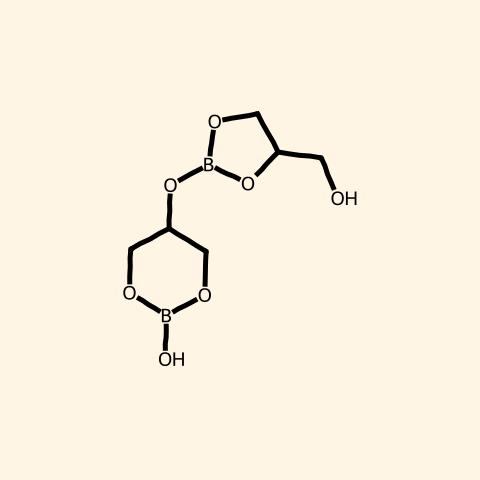 OCC1COB(OC2COB(O)OC2)O1